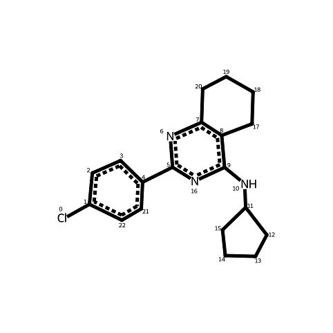 Clc1ccc(-c2nc3c(c(NC4CCCC4)n2)CCCC3)cc1